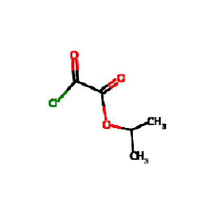 CC(C)OC(=O)C(=O)Cl